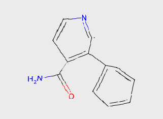 NC(=O)c1ccn[c]c1-c1ccccc1